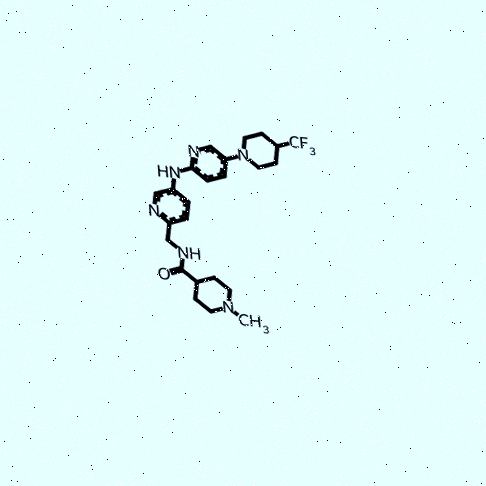 CN1CCC(C(=O)NCc2ccc(Nc3ccc(N4CCC(C(F)(F)F)CC4)cn3)cn2)CC1